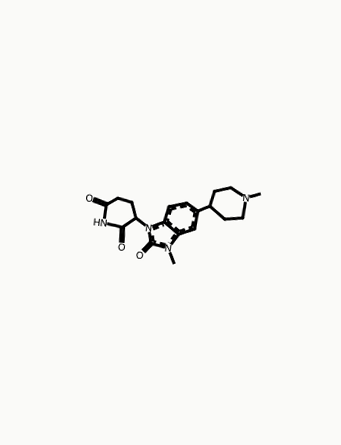 CN1CCC(c2ccc3c(c2)n(C)c(=O)n3C2CCC(=O)NC2=O)CC1